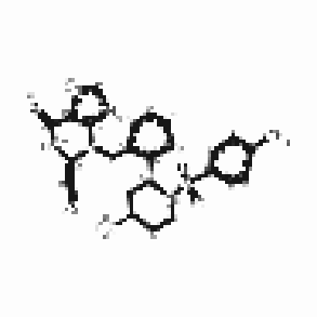 Cc1ccc(S(=O)(=O)N2CC[C@@H](C(F)(F)F)C[C@H]2c2ccccc2CN2C(=C=S)NC(=O)c3[nH]cnc32)cc1